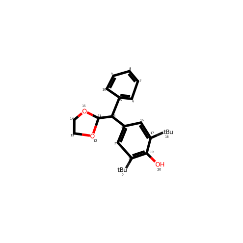 CC(C)(C)c1cc(C(c2ccccc2)C2OCCO2)cc(C(C)(C)C)c1O